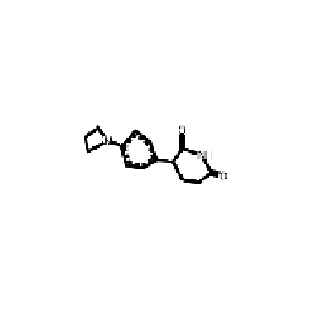 O=C1CC[C@@H](c2ccc(N3C[CH]C3)cc2)C(=O)N1